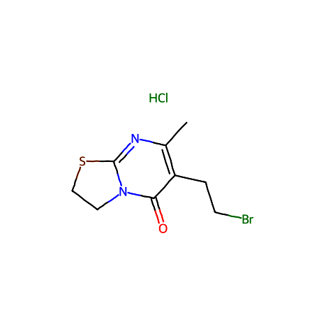 Cc1nc2n(c(=O)c1CCBr)CCS2.Cl